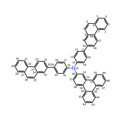 c1ccc2c(c1)ccc1cc(-c3ccc(N(c4ccc(-c5ccc6c(ccc7ccccc76)c5)cc4)c4ccc5c6ccccc6c6ccccc6c5c4)cc3)ccc12